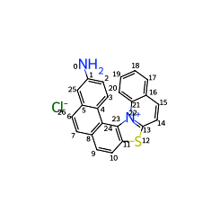 Nc1ccc2c(ccc3ccc4sc5ccc6ccccc6[n+]5c4c32)c1.[Cl-]